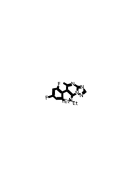 CCN(CC)c1c(-c2c(F)cc(F)cc2F)c(C)nc2ncnn12